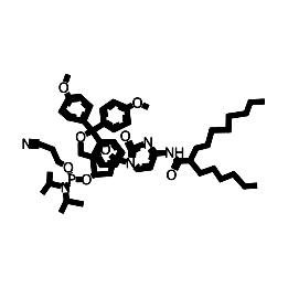 CCCCCCCCC(CCCCCC)C(=O)Nc1ccn(C2CC(OP(OCCC#N)N(C(C)C)C(C)C)C(COC(c3ccccc3)(c3ccc(OC)cc3)c3ccc(OC)cc3)O2)c(=O)n1